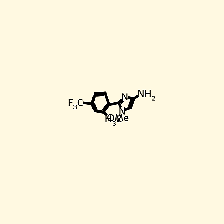 COc1cc(C(F)(F)F)ccc1-c1nc(N)cn1C